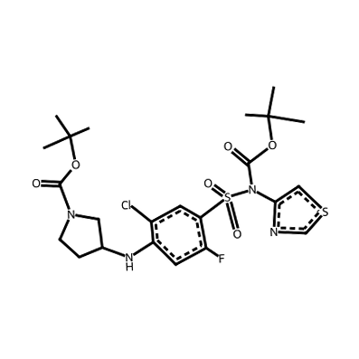 CC(C)(C)OC(=O)N1CCC(Nc2cc(F)c(S(=O)(=O)N(C(=O)OC(C)(C)C)c3cscn3)cc2Cl)C1